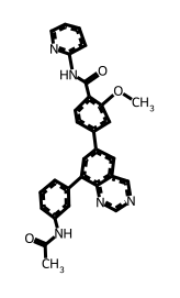 COc1cc(-c2cc(-c3cccc(NC(C)=O)c3)c3ncncc3c2)ccc1C(=O)Nc1ccccn1